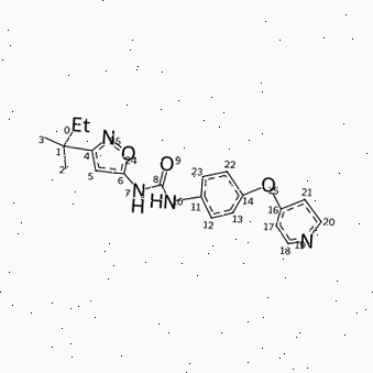 CCC(C)(C)c1cc(NC(=O)Nc2ccc(Oc3ccncc3)cc2)on1